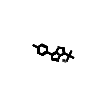 BC(C)(C)c1csc2c(-c3ccc(C)cc3)cnn12